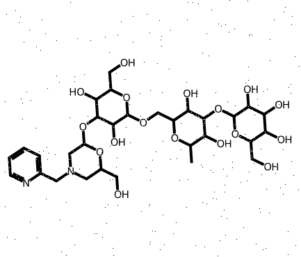 CC1OC(COC2OC(CO)C(O)C(OC3CN(Cc4ccccn4)CC(CO)O3)C2O)C(O)C(OC2OC(CO)C(O)C(O)C2O)C1O